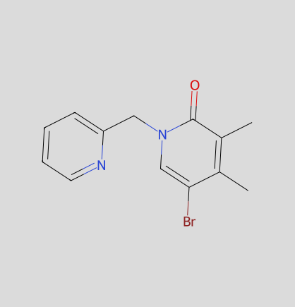 Cc1c(Br)cn(Cc2ccccn2)c(=O)c1C